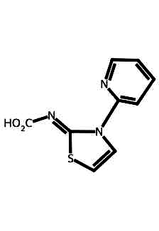 O=C(O)N=c1sccn1-c1ccccn1